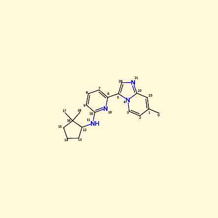 Cc1ccn2c(-c3cccc(NC4CCCC4(C)C)n3)cnc2c1